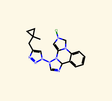 CC1(Cc2cn(N3C=NC4c5ccccc5N5CN(Cl)C=C5N43)nn2)CC1